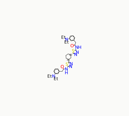 CCN(CC)c1cccc(CC(=O)Nc2nnc([C@H]3CCC[C@H](c4nnc(NC(=O)Cc5cccc(N(CC)CC)c5)s4)C3)s2)c1